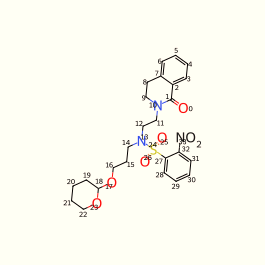 O=C1c2ccccc2CCN1CCN(CCCOC1CCCCO1)S(=O)(=O)c1ccccc1[N+](=O)[O-]